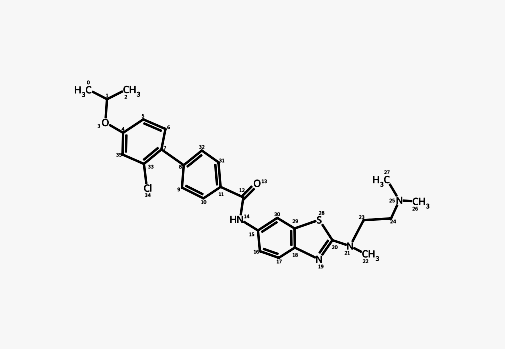 CC(C)Oc1ccc(-c2ccc(C(=O)Nc3ccc4nc(N(C)CCN(C)C)sc4c3)cc2)c(Cl)c1